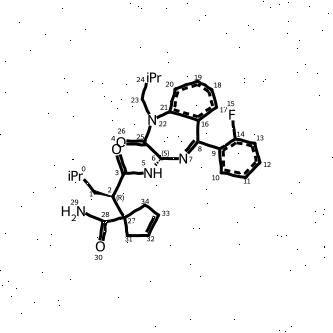 CC(C)C[C@@H](C(=O)N[C@H]1N=C(c2ccccc2F)c2ccccc2N(CC(C)C)C1=O)C1(C(N)=O)CC=CC1